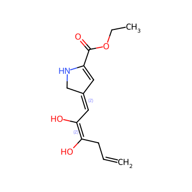 C=CC/C(O)=C(O)\C=C1\C=C(C(=O)OCC)NC1